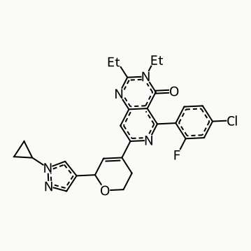 CCc1nc2cc(C3=CC(c4cnn(C5CC5)c4)OCC3)nc(-c3ccc(Cl)cc3F)c2c(=O)n1CC